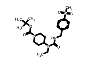 CCN(C(=O)NCc1ccc(S(C)(=O)=O)cc1)C1CCN(C(=O)OC(C)(C)C)CC1